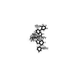 CC(C)C1=Cc2c(-c3ccccc3C(C)(C)C)cccc2[CH]1[Zr]([Cl])([Cl])([BH]N([Si](C)(C)C)[Si](C)(C)C)[CH]1C(C(C)C)=Cc2c(-c3ccccc3C(C)(C)C)cccc21